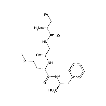 C[Se]CC[C@H](NC(=O)CNC(=O)[C@@H](N)CC(C)C)C(=O)N[C@@H](Cc1ccccc1)C(=O)O